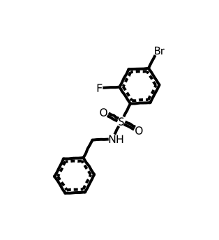 O=S(=O)(NCc1ccccc1)c1ccc(Br)cc1F